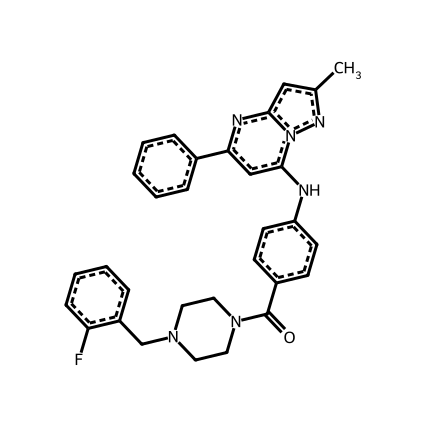 Cc1cc2nc(-c3ccccc3)cc(Nc3ccc(C(=O)N4CCN(Cc5ccccc5F)CC4)cc3)n2n1